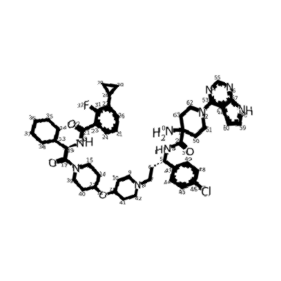 NC1(C(=O)N[C@@H](CCN2CCC(OC3CCN(C(=O)[C@H](NC(=O)c4cccc(C5CC5)c4F)C4CCCCC4)CC3)CC2)c2ccc(Cl)cc2)CCN(c2ncnc3[nH]ccc23)CC1